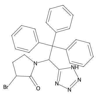 O=C1C(Br)CCN1C(c1nnn[nH]1)C(c1ccccc1)(c1ccccc1)c1ccccc1